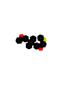 c1ccc2c(c1)oc1ccc(-c3c4ccccc4c(-c4ccc5oc6ccc7sc8ccccc8c7c6c5c4)c4ccccc34)cc12